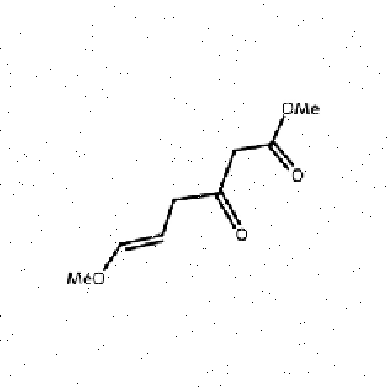 COC=CCC(=O)CC(=O)OC